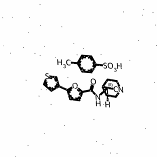 Cc1ccc(S(=O)(=O)O)cc1.O=C(N[C@H]1CN2CCC1CC2)c1ccc(-c2ccsc2)o1